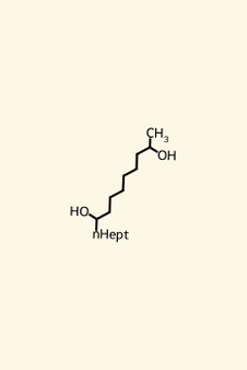 CCCCCCCC(O)CCCCCCC(C)O